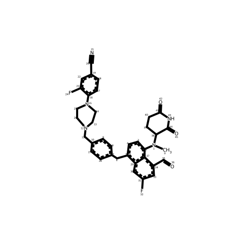 CN(c1ccc(Cc2ccc(CN3CCN(c4ccc(C#N)cc4F)CC3)cc2)c2cc(F)cc(C=O)c12)C1CCC(=O)NC1=O